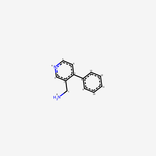 NCc1cnccc1-c1ccccc1